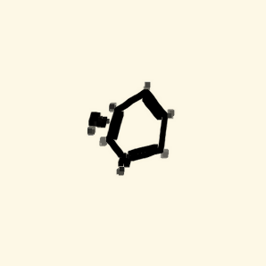 [Eu].c1ccncc1